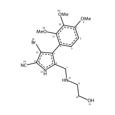 COc1ccc(-c2c(CNCCO)[nH]c(C#N)c2Br)c(OC)c1OC